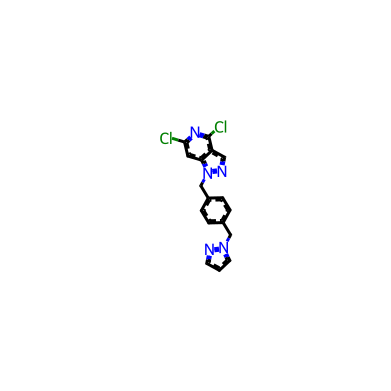 Clc1cc2c(cnn2Cc2ccc(Cn3cccn3)cc2)c(Cl)n1